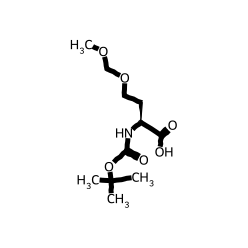 COCOCC[C@H](NC(=O)OC(C)(C)C)C(=O)O